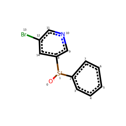 [O-][S+](c1ccccc1)c1cncc(Br)c1